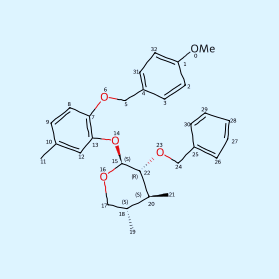 COc1ccc(COc2ccc(C)cc2O[C@@H]2OC[C@@H](C)[C@H](C)[C@H]2OCc2ccccc2)cc1